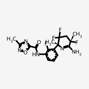 Cc1noc(C(=O)Nc2cccc([C@@]3(C)N=C(N)[C@@](C)(F)CC3(F)F)c2F)n1